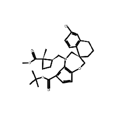 COC(=O)[C@@]1(C)CC[C@@H]1CN1C[C@@]2(CCCc3cc(Cl)ccc32)COc2ccc(C(=O)OC(C)(C)C)cc21